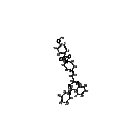 COc1ccc(S(=O)(=O)N2CCN(CCc3nc(N4CC=CCC4)c4ccccc4n3)CC2)cc1